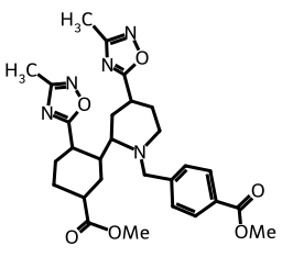 COC(=O)c1ccc(CN2CCC(c3nc(C)no3)CC2C2CC(C(=O)OC)CCC2c2nc(C)no2)cc1